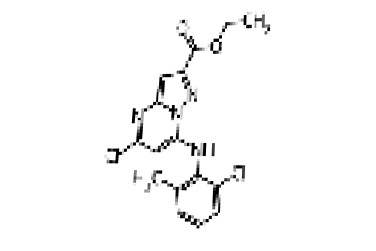 CCOC(=O)c1cc2nc(Cl)cc(Nc3c(C)cccc3Cl)n2n1